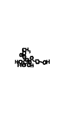 CCOC(=O)OC[C@H]1O[C@@H](Oc2ccccc2Cc2ccc(CCO)cc2)[C@H](O)[C@@H](O)[C@@H]1O